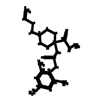 C=CCON1CCC(OC(=O)Cc2c(C)cc(C)cc2C)(C(=O)OC)CC1